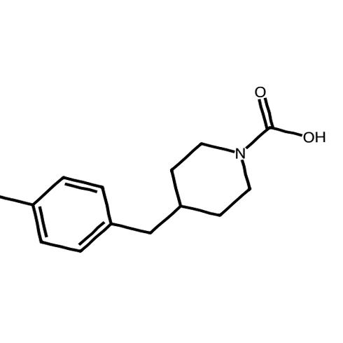 O=C(O)N1CCC(Cc2ccc(I)cc2)CC1